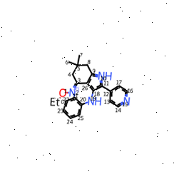 CCO/N=C1\CC(C)(C)Cc2[nH]c(-c3ccncc3)c(Nc3ccccc3)c21